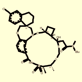 C[C@@H]1[C@@H](C)CCC[C@@](O)(CC(=O)N(C)C(C)(C)C)[C@@H]2CC[C@H]2CN2C[C@@]3(CCCc4cc(Cl)ccc43)COc3ccc(cc32)C(=O)NS1(=O)=O